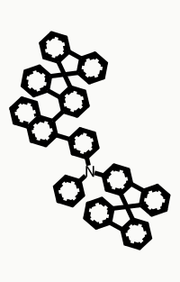 c1ccc(N(c2cccc(-c3ccc4ccccc4c3-c3cccc4c3-c3ccccc3C43c4ccccc4-c4ccccc43)c2)c2ccc3c(c2)C2(c4ccccc4-c4ccccc42)c2ccccc2-3)cc1